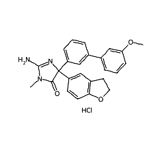 COc1cccc(-c2cccc(C3(c4ccc5c(c4)CCO5)N=C(N)N(C)C3=O)c2)c1.Cl